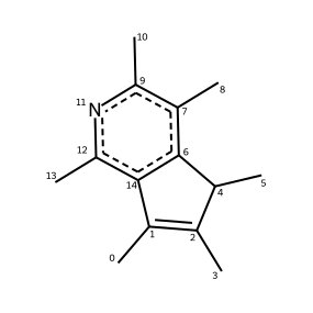 CC1=C(C)C(C)c2c(C)c(C)nc(C)c21